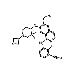 C#Cc1cccc(Nc2ncnc3cc(OC)c(OC4CCN(C5COC5)CC4(F)F)cc23)c1F